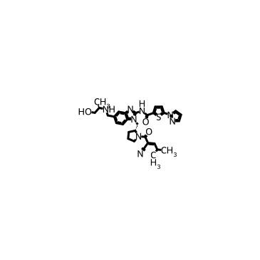 CC(C)C=C(C#N)C(=O)N1CCC[C@@H]1Cn1c(NC(=O)c2ccc(-n3cccn3)s2)nc2cc(CN[C@H](C)CO)ccc21